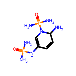 NC1C=CC(NP(N)(N)=O)=CN1P(N)(N)=O